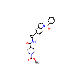 CC(C)(C)OC(=O)N1CCC(C(=O)NC2CC2c2ccc3c(c2)CCN3[S+]([O-])c2ccccc2)CC1